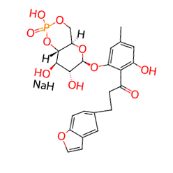 Cc1cc(O)c(C(=O)CCc2ccc3occc3c2)c(O[C@@H]2O[C@@H]3COP(=O)(O)O[C@H]3[C@H](O)[C@H]2O)c1.[NaH]